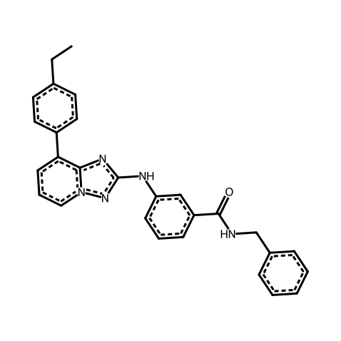 CCc1ccc(-c2cccn3nc(Nc4cccc(C(=O)NCc5ccccc5)c4)nc23)cc1